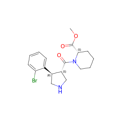 COC(=O)[C@@H]1CCCCN1C(=O)[C@@H]1CNC[C@H]1c1ccccc1Br